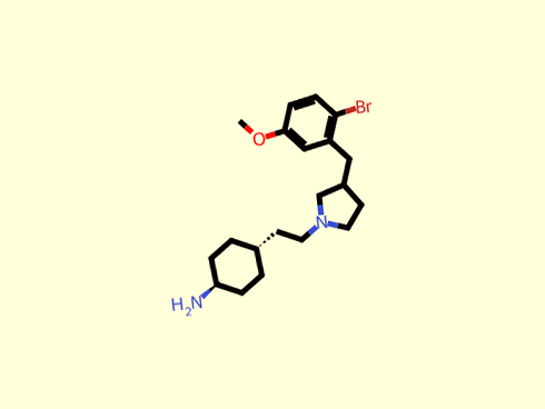 COc1ccc(Br)c(CC2CCN(CC[C@H]3CC[C@H](N)CC3)C2)c1